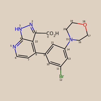 O=C(O)c1n[nH]c2nccc(-c3cc(Br)cc(N4CCOCC4)c3)c12